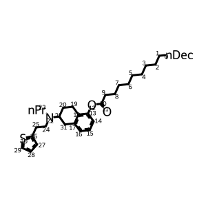 CCCCCCCCCCCCCCCCCCCC(=O)Oc1cccc2c1CCC(N(CCC)CCc1cccs1)C2